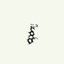 CCOC(=O)C(C)=Cc1ccc(C(O)c2cccnc2)c(C)c1